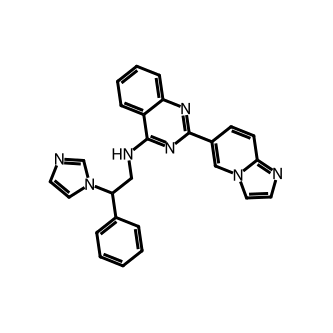 c1ccc(C(CNc2nc(-c3ccc4nccn4c3)nc3ccccc23)n2ccnc2)cc1